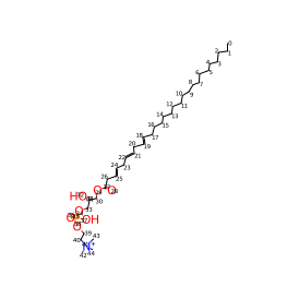 CCCCCCCCCCCCCCCCCCC=CCC=CCC=CCC(=O)OC[C@@H](O)COP(=O)(O)OCC[N+](C)(C)C